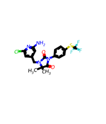 CC1(C)C(=O)N(c2ccc(SC(F)(F)F)cc2)C(=O)N1Cc1cc(N)nc(Cl)c1